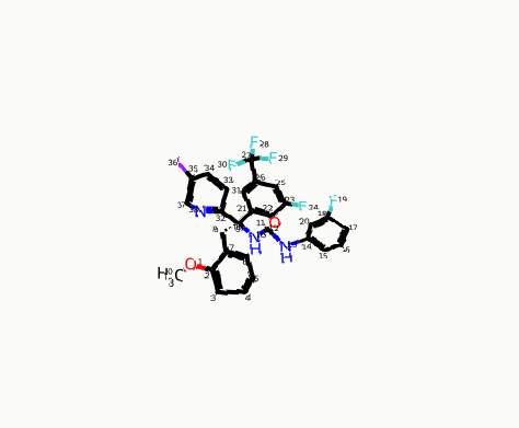 COc1ccccc1C[C@@](NC(=O)Nc1cccc(F)c1)(c1cc(F)cc(C(F)(F)F)c1)c1ccc(I)cn1